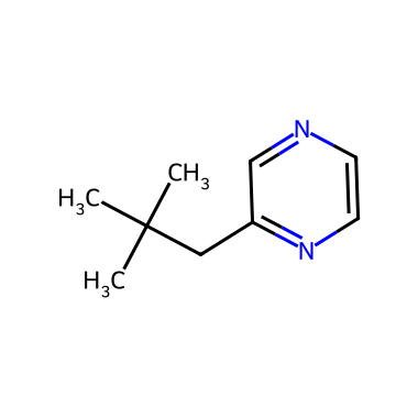 CC(C)(C)Cc1cnccn1